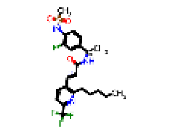 CCCCCc1nc(C(F)(F)F)ccc1/C=C/C(=O)N[C@H](C)c1ccc(NS(C)(=O)=O)c(F)c1